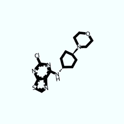 Clc1nc(N[C@H]2CC[C@H](N3CCOCC3)CC2)c2ncsc2n1